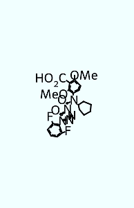 COc1ccc(N(C(=O)n2nnn(-c3c(F)cccc3F)c2=O)C2CCCCC2)c(OC)c1C(=O)O